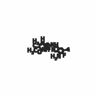 CC(C)C1CNc2cc(Nc3cc4cc(C5CC5)c(F)c(N)c4cn3)nn2NC1=O